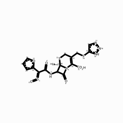 O=S=C(C(=O)NC1C(=O)N2C(C(=O)O)=C(CSc3cnn[nH]3)CS[C@H]12)c1ccco1